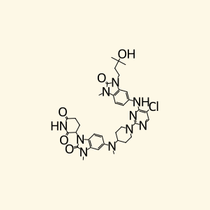 CN(c1ccc2c(c1)n(C)c(=O)n2C1CCC(=O)NC1=O)C1CCN(c2ncc(Cl)c(Nc3ccc4c(c3)n(CCC(C)(C)O)c(=O)n4C)n2)CC1